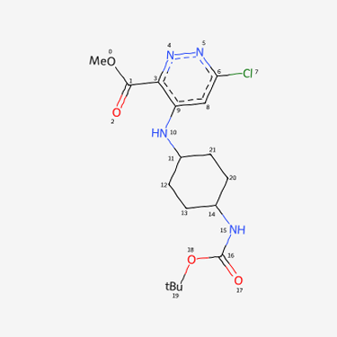 COC(=O)c1nnc(Cl)cc1NC1CCC(NC(=O)OC(C)(C)C)CC1